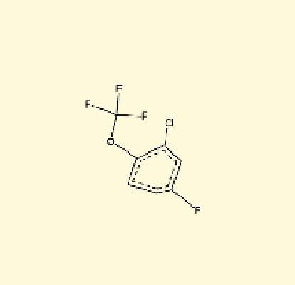 Fc1ccc(OC(F)(F)F)c(Cl)c1